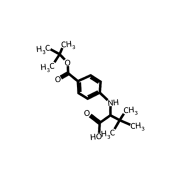 CC(C)(C)OC(=O)c1ccc(NC(C(=O)O)C(C)(C)C)cc1